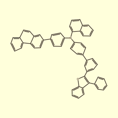 c1ccc(-c2c(-c3cccc(-c4ccc(N(c5ccc(-c6ccc7c(ccc8ccccc87)c6)cc5)c5cccc6ccccc56)cc4)c3)oc3ccccc23)cc1